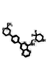 C[C@H]1CN(c2ccc(-c3cc4nccnc4c(NC[C@H]4CNCCC4(F)F)n3)cc2)CCO1